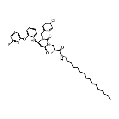 CCCCCCCCCCCCCCCCNC(=O)[C@@H](C)Cn1c(=O)cc(Nc2ccccc2Oc2cccc(F)n2)n(Cc2ccc(Cl)cc2)c1=O